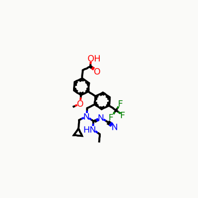 CCNC(=NC#N)N(Cc1cc(C(F)(F)F)ccc1-c1cc(CC(=O)O)ccc1OC)CC1CC1